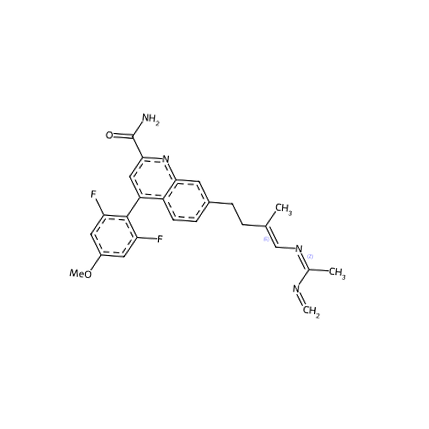 C=N/C(C)=N\C=C(/C)CCc1ccc2c(-c3c(F)cc(OC)cc3F)cc(C(N)=O)nc2c1